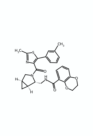 Cc1cccc(-c2sc(C)nc2C(=O)N2C[C@@H]3C[C@@H]3[C@H]2CNC(=O)c2cccc3c2OCCO3)c1